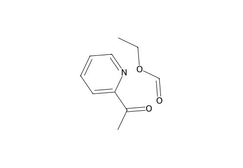 CC(=O)c1ccccn1.CCOC=O